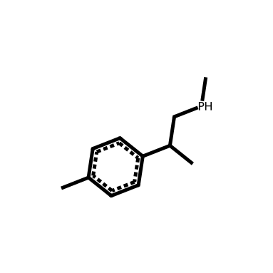 CPCC(C)c1ccc(C)cc1